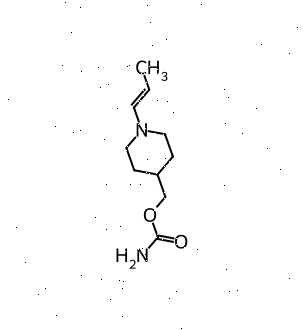 CC=CN1CCC(COC(N)=O)CC1